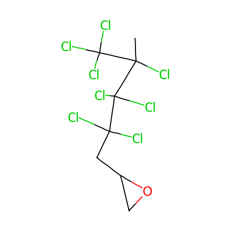 CC(Cl)(C(Cl)(Cl)Cl)C(Cl)(Cl)C(Cl)(Cl)CC1CO1